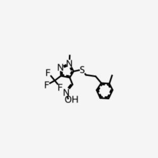 Cc1ccccc1CCSc1c(C=NO)c(C(F)(F)F)nn1C